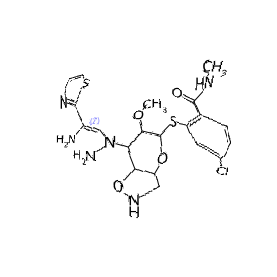 CNC(=O)c1ccc(Cl)cc1SC1OC2CNOC2C(N(N)/C=C(\N)c2nccs2)C1OC